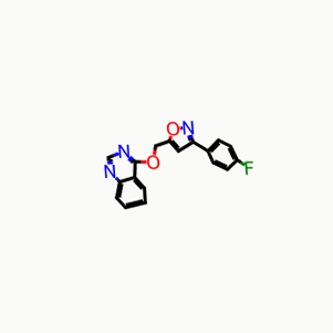 Fc1ccc(-c2cc(COc3ncnc4ccccc34)on2)cc1